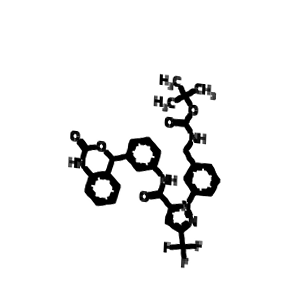 CC(C)(C)OC(=O)NCc1cccc(-n2nc(C(F)(F)F)cc2C(=O)Nc2cccc(C3OC(=O)Nc4ccccc43)c2)c1